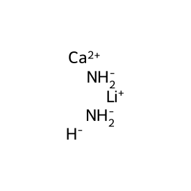 [Ca+2].[H-].[Li+].[NH2-].[NH2-]